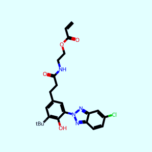 C=CC(=O)OCCNC(=O)CCc1cc(-n2nc3ccc(Cl)cc3n2)c(O)c(C(C)(C)C)c1